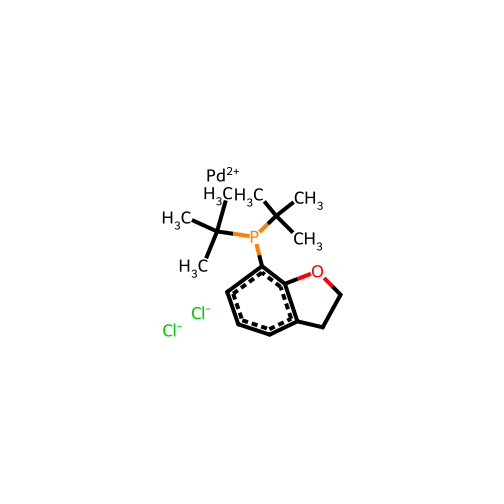 CC(C)(C)P(c1cccc2c1OCC2)C(C)(C)C.[Cl-].[Cl-].[Pd+2]